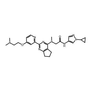 CN(C)CCOc1ccnc(-c2nc3c(c(N(C)CC(=O)Nc4cnn(C5CC5)c4)n2)CCC3)c1